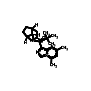 Cc1cc(C)n2cnc(C(=O)N[C@H]3[C@@H]4CC[C@H]3C[C@H](OC(C)(C)C)C4)c2n1